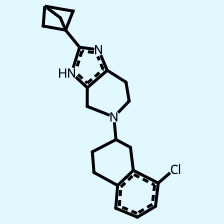 Clc1cccc2c1CC(N1CCc3nc(C45CC(C4)C5)[nH]c3C1)CC2